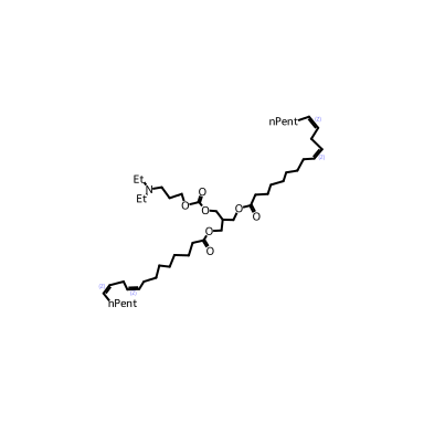 CCCCC/C=C\C/C=C\CCCCCCCC(=O)OCC(COC(=O)CCCCCCC/C=C\C/C=C\CCCCC)COC(=O)OCCCN(CC)CC